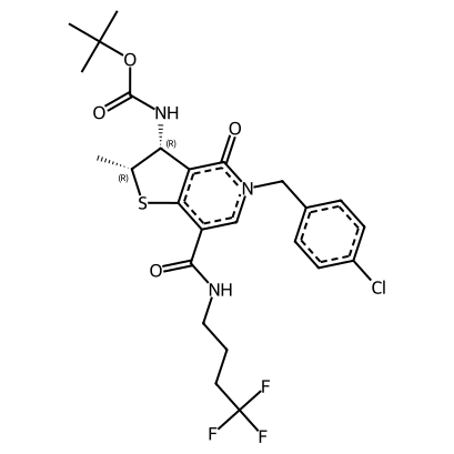 C[C@H]1Sc2c(C(=O)NCCCC(F)(F)F)cn(Cc3ccc(Cl)cc3)c(=O)c2[C@H]1NC(=O)OC(C)(C)C